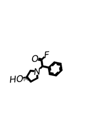 O=C(F)C(c1ccccc1)N1CC[C@@H](O)C1